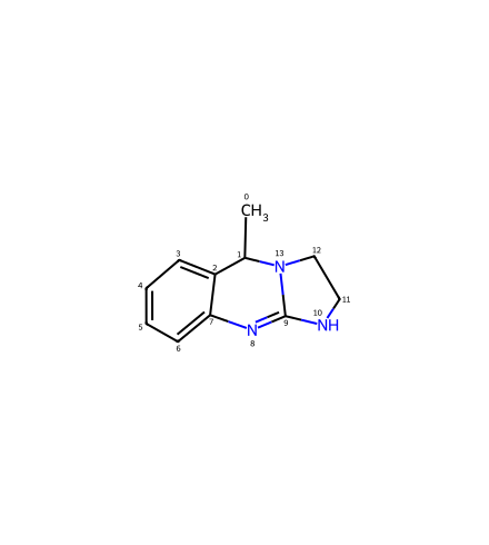 CC1c2ccccc2N=C2NCCN21